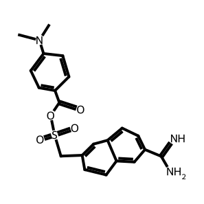 CN(C)c1ccc(C(=O)OS(=O)(=O)Cc2ccc3cc(C(=N)N)ccc3c2)cc1